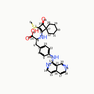 CSC1=C(N[C@@H](Cc2ccc(Nc3nccc4ccncc34)cc2)C(=O)O)C2(CCCCC2)C1=O